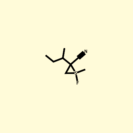 CCC(C)C1(C#N)CS1(C)F